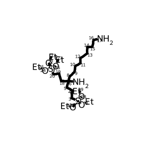 CCO[Si](CCCC(N)(CCCCCCCCCN)CCC[Si](OCC)(OCC)OCC)(OCC)OCC